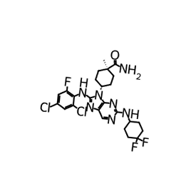 C[C@]1(C(N)=O)CC[C@H](n2c(Nc3c(F)cc(Cl)cc3Cl)nc3cnc(NC4CCC(F)(F)CC4)nc32)CC1